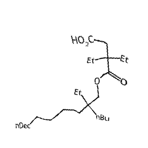 CCCCCCCCCCCCCCC(CC)(CCCC)COC(=O)C(CC)(CC)CC(=O)O